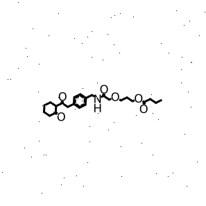 CCCC(=O)OCCCOCC(=O)NCc1ccc(CC(=O)C2CCCCC2=O)cc1